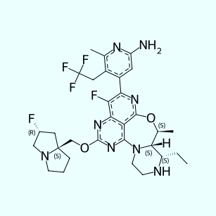 CC[C@@H]1NCCN2c3nc(OC[C@@]45CCCN4C[C@H](F)C5)nc4c(F)c(-c5cc(N)nc(C)c5CC(F)(F)F)nc(c34)O[C@@H](C)[C@H]12